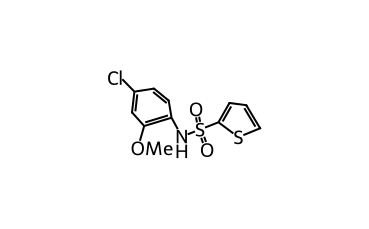 COc1cc(Cl)ccc1NS(=O)(=O)c1cccs1